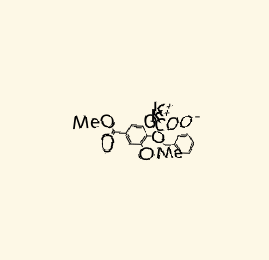 COC(=O)c1ccc(OCc2ccccc2)c(OC)c1.O=C([O-])[O-].[K+].[K+]